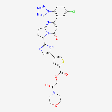 O=C(OCC(=O)N1CCOCC1)c1cc(-c2cnc([C@@H]3CCc4nc(-c5cc(Cl)ccc5-n5cnnn5)cc(=O)n43)[nH]2)cs1